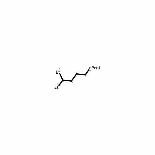 CCCCCCCC[C](CC)CC